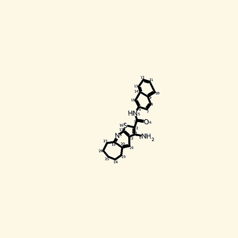 Nc1c(C(=O)Nc2ccc3ccccc3c2)sc2nc3c(cc12)CCCCC3